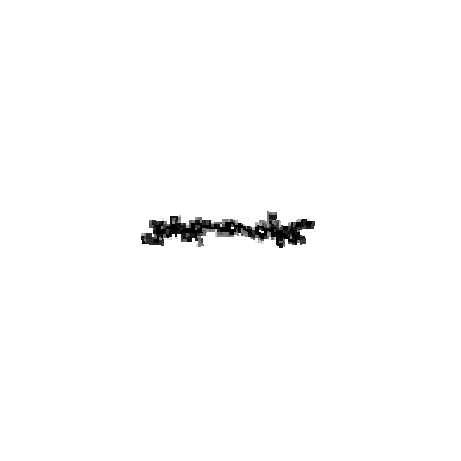 CC(C)C[C@H](NC(=O)OC(C)(C)C)C(=O)O/N=C(\N)c1ccc(OCCCN2CCC(CCCOc3ccc(/C(N)=N/OC(=O)[C@@H](CC(C)C)NC(=O)OC(C)(C)C)cc3)CC2)cc1